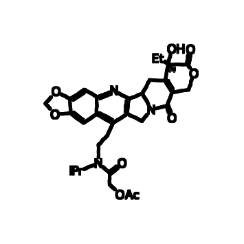 CC[C@@]1(O)C(=O)OCC2=C1CC1c3nc4cc5c(cc4c(CCN(C(=O)COC(C)=O)C(C)C)c3CN1C2=O)OCO5